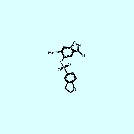 CCc1noc2cc(OC)c(NS(=O)(=O)c3ccc4c(c3)CCO4)cc12